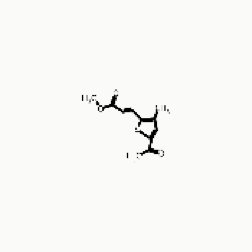 COC(=O)/C=C/c1sc(C(C)=O)cc1C